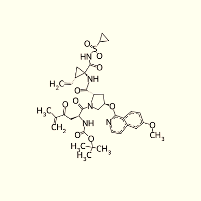 C=C[C@@H]1C[C@]1(NC(=O)[C@@H]1C[C@@H](Oc2nccc3cc(OC)ccc23)CN1C(=O)[C@H](CC(=O)C(=C)C)NC(=O)OC(C)(C)C)C(=O)NS(=O)(=O)C1CC1